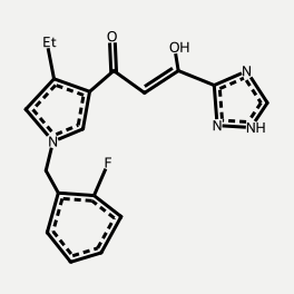 CCc1cn(Cc2ccccc2F)cc1C(=O)C=C(O)c1nc[nH]n1